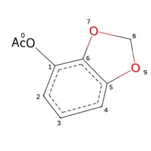 CC(=O)Oc1cccc2c1OCO2